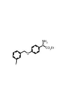 CCOC(=O)N(N)c1ccc(OCc2cccc(F)c2)cc1